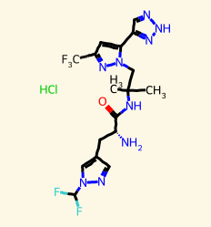 CC(C)(Cn1nc(C(F)(F)F)cc1-c1cn[nH]n1)NC(=O)[C@H](N)Cc1cnn(C(F)F)c1.Cl